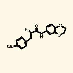 CCC(Cc1ccc(C(C)(C)C)cc1)C(=O)Nc1ccc2c(c1)OCCO2